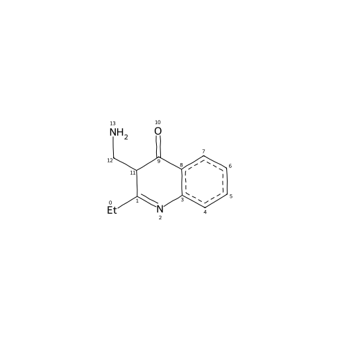 CCC1=Nc2ccccc2C(=O)C1CN